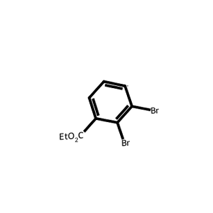 CCOC(=O)c1cc[c]c(Br)c1Br